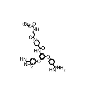 CC(C)(C)OC(=O)NCCC(=O)N1CCC(C(=O)Nc2cc(Oc3ccc(C(=N)N)cc3)cc(Oc3ccc(C(=N)N)cc3)c2)CC1